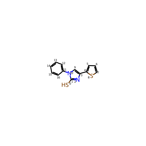 Sc1nc(-c2cccs2)cn1-c1ccccc1